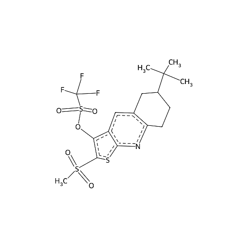 CC(C)(C)C1CCc2nc3sc(S(C)(=O)=O)c(OS(=O)(=O)C(F)(F)F)c3cc2C1